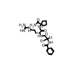 CCC(CC)(NC(=O)c1ccccc1)C(=O)N[C@@H](CCCNC(=N)N)C(=O)NC1(C(N)=O)CCCC1